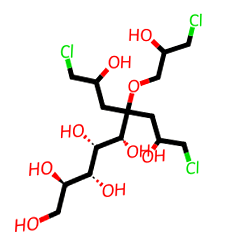 OC[C@@H](O)[C@@H](O)[C@H](O)[C@@H](O)C(CC(O)CCl)(CC(O)CCl)OCC(O)CCl